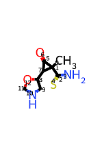 CC1(C(N)=S)C(=O)C1C1CNCO1